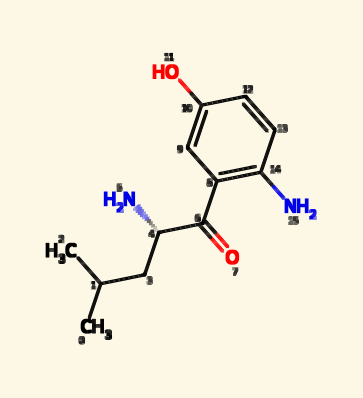 CC(C)C[C@H](N)C(=O)c1cc(O)ccc1N